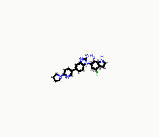 Nc1nc2cc(-c3ccc(N4CCCC4)nc3)ccc2n1-c1cc(Cl)c2cc[nH]c2c1